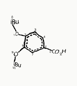 CCC(C)Oc1ccc(C(=O)O)cc1OC(C)CC